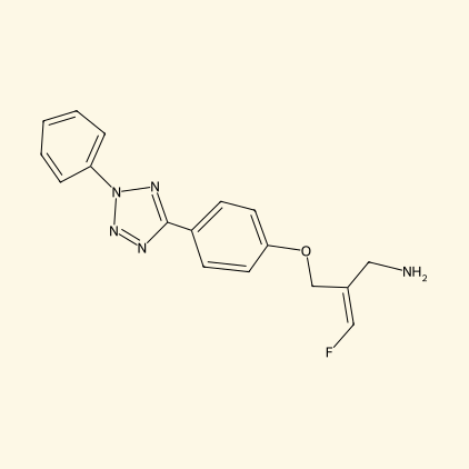 NC/C(=C/F)COc1ccc(-c2nnn(-c3ccccc3)n2)cc1